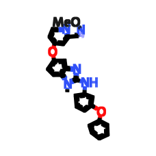 CO/N=C\c1cc(Oc2ccc3c(c2)nc(Nc2cccc(Oc4ccccc4)c2)n3C)ccn1